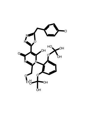 CCOCc1nc(=O)c(-c2nnc(Cc3ccc(Cl)cc3)o2)c(O)n1-c1c(OC(O)(O)O)cccc1OC(O)(O)O